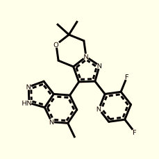 Cc1cc(-c2c(-c3ncc(F)cc3F)nn3c2COC(C)(C)C3)c2cn[nH]c2n1